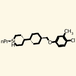 CCC[Si@H]1CC[C@H]([C@H]2CC[C@H](COc3ccc(Cl)c(C)c3)CC2)CC1